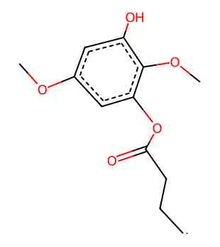 [CH2]CCC(=O)Oc1cc(OC)cc(O)c1OC